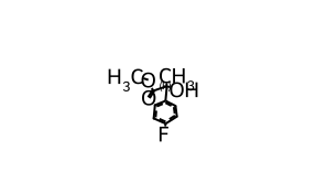 COC(=O)[C@](C)(O)c1ccc(F)cc1